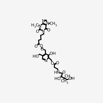 Cn1cnc2c1c(=O)n(CCCCC(=O)OOCc1c(CO)cnc(COC(=O)CCNC(=O)[C@H](O)C(C)(C)CO)c1O)c(=O)n2C